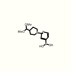 COC(OC)C1CCN(c2cc(B(O)O)ccn2)CC1